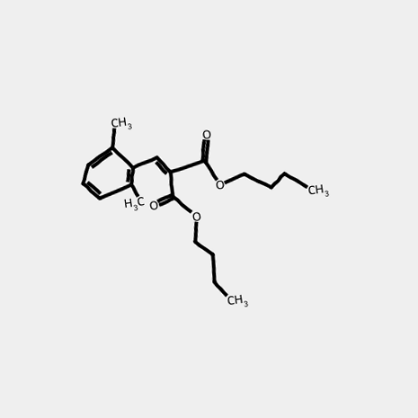 CCCCOC(=O)C(=Cc1c(C)cccc1C)C(=O)OCCCC